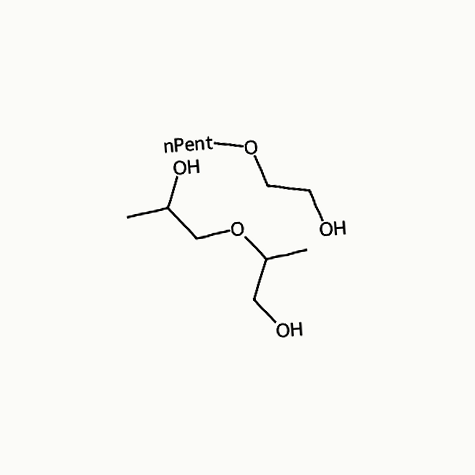 CC(O)COC(C)CO.CCCCCOCCO